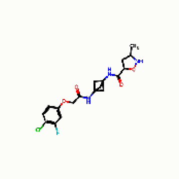 CC1CC(C(=O)NC23CC(NC(=O)COc4ccc(Cl)c(F)c4)(C2)C3)ON1